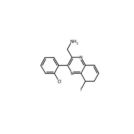 NCc1nc2c(nc1-c1ccccc1Cl)C(I)CC=C2